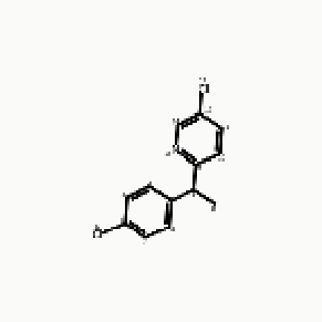 CC(c1ccc(Cl)cc1)c1ccc(Cl)cn1